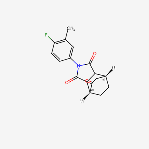 Cc1cc(N2C(=O)C3C(C2=O)[C@H]2CC[C@@H]3CC2=O)ccc1F